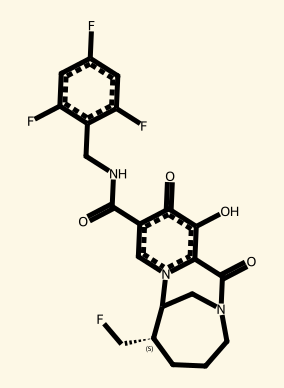 O=C(NCc1c(F)cc(F)cc1F)c1cn2c(c(O)c1=O)C(=O)N1CCC[C@H](CF)C2C1